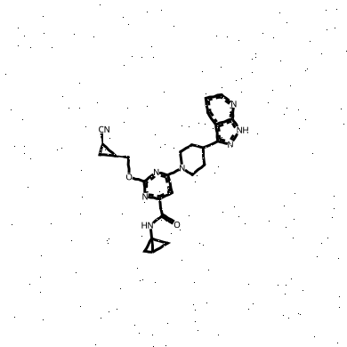 N#C[C@@H]1C[C@@H]1COc1nc(C(=O)NC23CC2C3)cc(N2CCC(c3n[nH]c4ncccc34)CC2)n1